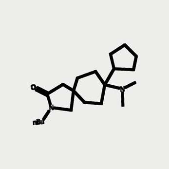 CCCCN1CC2(CCC(C3CCCC3)(N(C)C)CC2)CC1=O